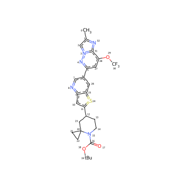 Cc1cn2nc(-c3cnc4cc(C5CCN(C(=O)OC(C)(C)C)C6(CC6)C5)sc4c3)cc(OC(F)(F)F)c2n1